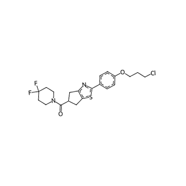 O=C(C1Cc2nc(-c3ccc(OCCCCl)cc3)sc2C1)N1CCC(F)(F)CC1